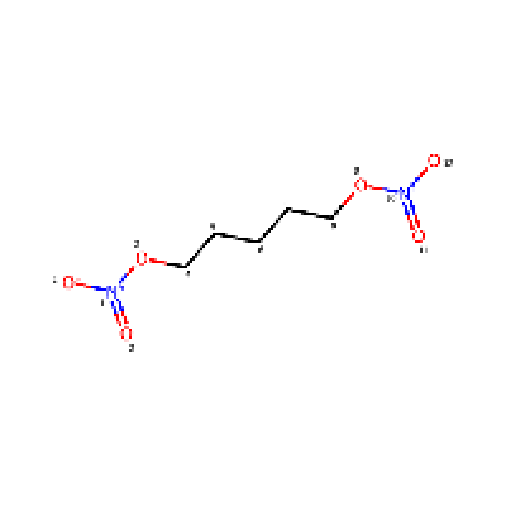 O=[N+]([O-])OCCCCCO[N+](=O)[O-]